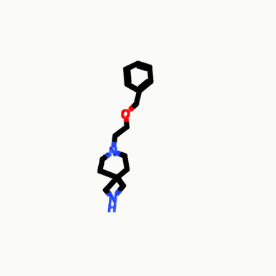 c1ccc(COCCN2CCC3(CC2)CNC3)cc1